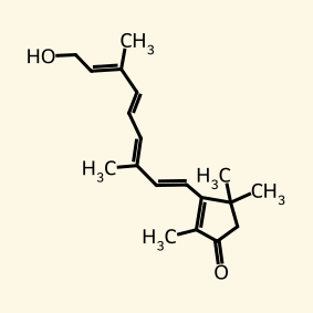 CC(C=CC1=C(C)C(=O)CC1(C)C)=CC=CC(C)=CCO